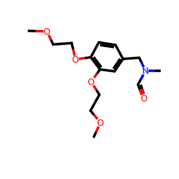 COCCOc1ccc(CN(C)C=O)cc1OCCOC